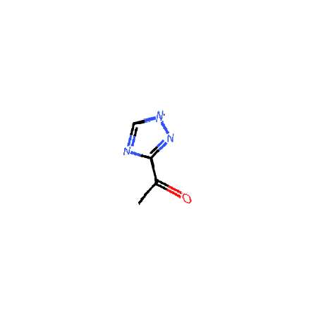 CC(=O)C1=N[N]C=N1